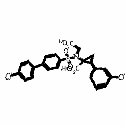 O=C(O)CN(C1(C(=O)O)CC1c1cccc(Cl)c1)S(=O)(=O)c1ccc(-c2ccc(Cl)cc2)cc1